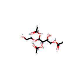 CC(=O)OCC(O)[C@@H](OC(C)=O)C(OCCBr)OC(C)=O